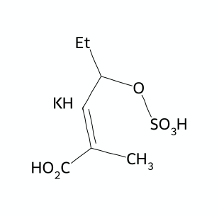 CCC(C=C(C)C(=O)O)OS(=O)(=O)O.[KH]